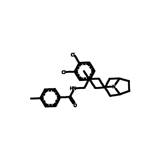 Cc1ccc(C(=O)NCC(C)CCN2C3CCC2CC(Cc2ccc(Cl)c(Cl)c2)C3)cc1